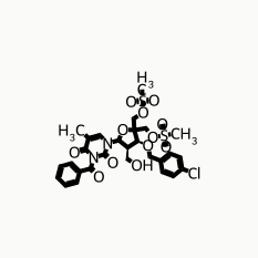 Cc1cn(C2OC(COS(C)(=O)=O)(COS(C)(=O)=O)[C@@H](OCc3ccc(Cl)cc3)[C@H]2CO)c(=O)n(C(=O)c2ccccc2)c1=O